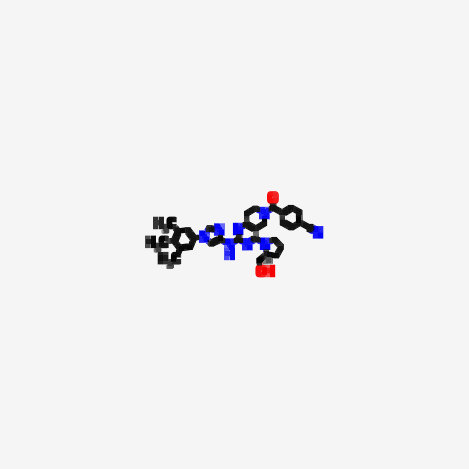 Cc1cc(-n2cnc(Nc3nc4c(c(N5CCC[C@H]5CO)n3)CN(C(=O)c3ccc(C#N)cc3)CC4)c2)cc(C)c1C